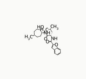 CC(C)C[C@H](NC(=O)c1cc2ccccc2o1)C(=O)N[C@H]1CC[C@@H](C)CC[C@@H]1O